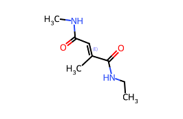 CCNC(=O)/C(C)=C/C(=O)NC